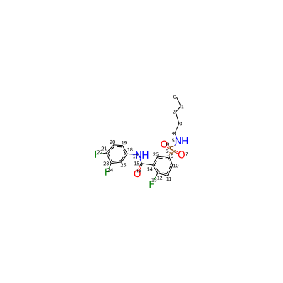 CCCCCNS(=O)(=O)c1ccc(F)c(C(=O)Nc2ccc(F)c(F)c2)c1